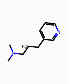 CN(C)C[SiH2]Cc1cccnc1